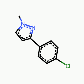 Cn1[c]cc(-c2ccc(Cl)cc2)n1